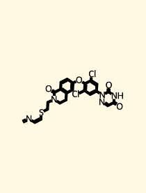 C=N/C=C\SCCN1CCc2cc(Oc3c(Cl)cc(-n4ncc(=O)[nH]c4=O)cc3Cl)ccc2C1=O